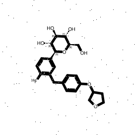 OC[C@H]1O[C@@H](c2ccc([18F])c(Cc3ccc(OC4CCOC4)cc3)c2)[C@H](O)[C@@H](O)[C@@H]1O